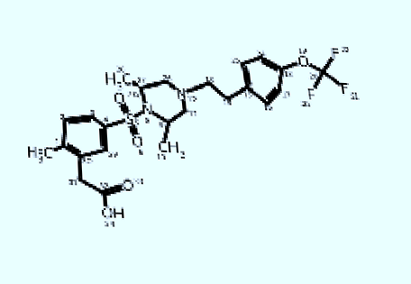 Cc1ccc(S(=O)(=O)N2C(C)CN(CCc3ccc(OC(F)(F)F)cc3)C[C@@H]2C)cc1CC(=O)O